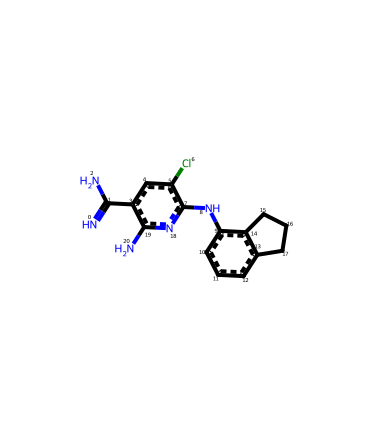 N=C(N)c1cc(Cl)c(Nc2cccc3c2CCC3)nc1N